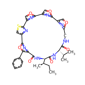 CC[C@@H](C)[C@H]1NC(=O)c2nc(oc2-c2ccccc2)-c2csc(n2)-c2coc(n2)-c2coc(n2)-c2coc(n2)CNC(=O)[C@H](C(C)C)NC1=O